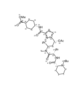 CCCCN1CCCC[C@@H]1C(=O)N[C@H](C(=O)N(C)C(C[C@@H](OC(C)=O)c1nc(C(=O)N[C@H]2CC[C@H](C(=O)OC)CC2)cs1)C(C)C)C(C)C